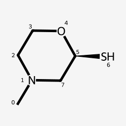 CN1CCO[C@@H](S)C1